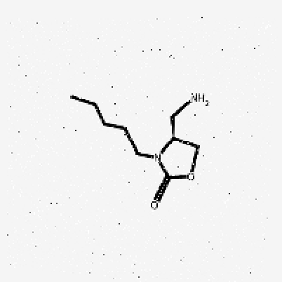 CCCCCN1C(=O)OC[C@@H]1CN